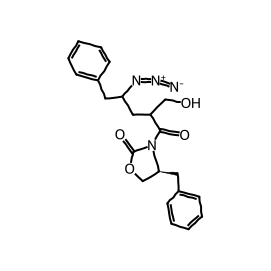 [N-]=[N+]=NC(Cc1ccccc1)CC(CO)C(=O)N1C(=O)OC[C@@H]1Cc1ccccc1